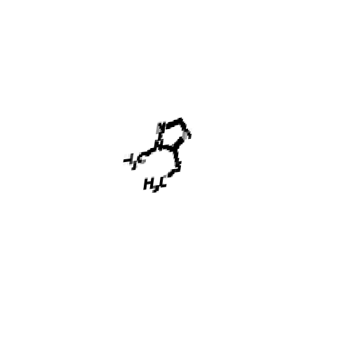 CSc1ncnn1C